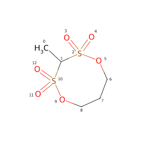 CC1S(=O)(=O)OCCCOS1(=O)=O